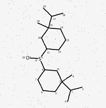 CC(C)C1(C)CCCC([S+]([O-])C2CCCC(C)(C(C)C)C2)C1